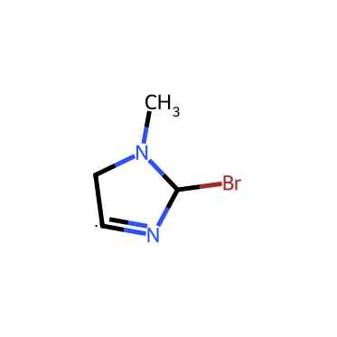 CN1C[C]=NC1Br